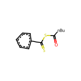 CCCCC(=O)SC(=S)c1ccccc1